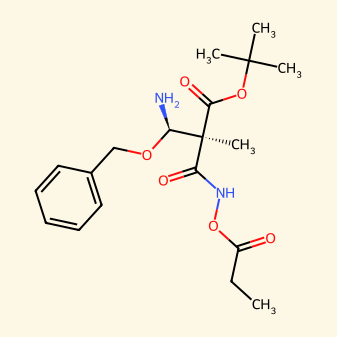 CCC(=O)ONC(=O)[C@](C)(C(=O)OC(C)(C)C)[C@H](N)OCc1ccccc1